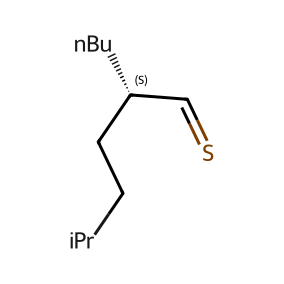 CCCC[C@H](C=S)CCC(C)C